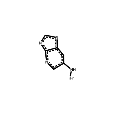 CC(C)Nc1cnc2ncsc2c1